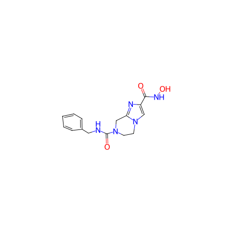 O=C(NO)c1cn2c(n1)CN(C(=O)NCc1ccccc1)CC2